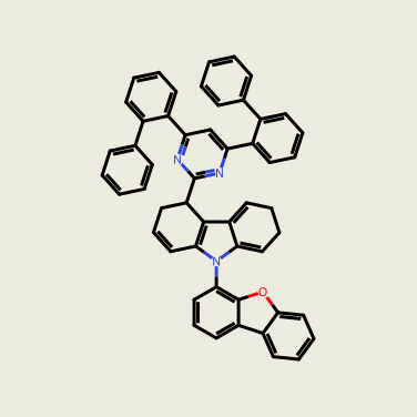 C1=Cc2c(c3c(n2-c2cccc4c2oc2ccccc24)=CCCC=3)C(c2nc(-c3ccccc3-c3ccccc3)cc(-c3ccccc3-c3ccccc3)n2)C1